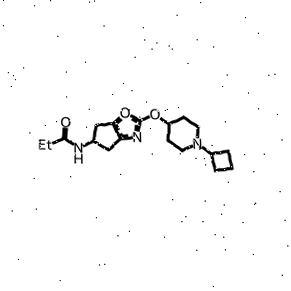 CCC(=O)NC1Cc2nc(OC3CCN(C4CCC4)CC3)oc2C1